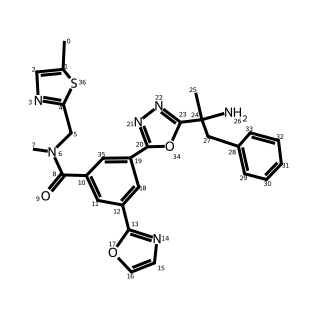 Cc1cnc(CN(C)C(=O)c2cc(-c3ncco3)cc(-c3nnc(C(C)(N)Cc4ccccc4)o3)c2)s1